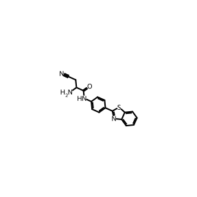 N#CCC(N)C(=O)Nc1ccc(-c2nc3ccccc3s2)cc1